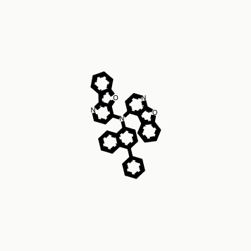 c1ccc(-c2ccc(N(c3ccnc4c3oc3ccccc34)c3ccnc4oc5ccccc5c34)c3ccccc23)cc1